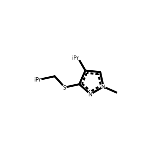 CC(C)CSc1nn(C)cc1C(C)C